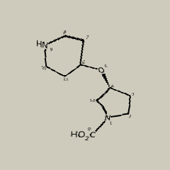 O=C(O)N1CC[C@H](OC2CCNCC2)C1